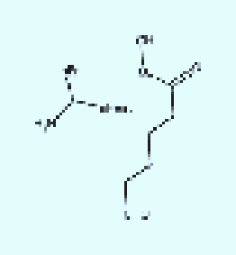 CCCCCC(N)CCC.O=CCCCCC(=O)OO